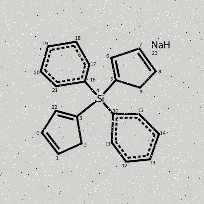 C1=CCC([Si](C2=CC=CC2)(c2ccccc2)c2ccccc2)=C1.[NaH]